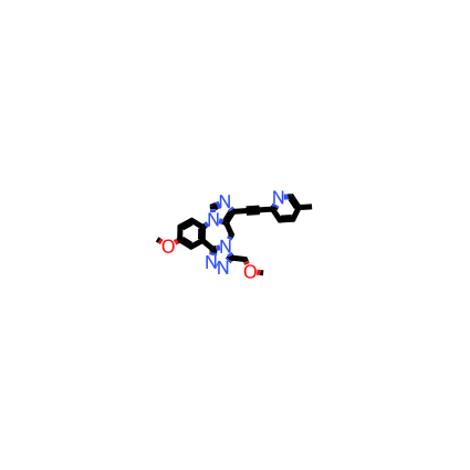 COCc1nnc2n1Cc1c(C#Cc3ccc(C)cn3)ncn1-c1ccc(OC)cc1-2